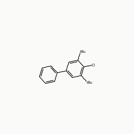 CC(C)(C)c1cc(-c2ccccc2)cc(C(C)(C)C)c1Cl